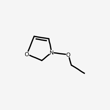 CCON1C=COC1